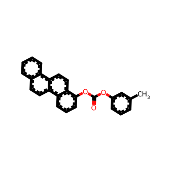 Cc1cccc(OC(=O)Oc2cccc3c2ccc2c4ccccc4ccc32)c1